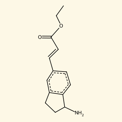 CCOC(=O)/C=C/c1ccc2c(c1)CCC2N